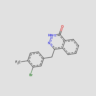 O=c1[nH]nc(Cc2ccc(C(F)(F)F)c(Br)c2)c2ccccc12